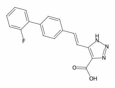 O=C(O)c1nn[nH]c1C=Cc1ccc(-c2ccccc2F)cc1